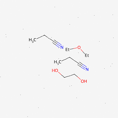 CCC#N.CCC#N.CCOCC.OCCO